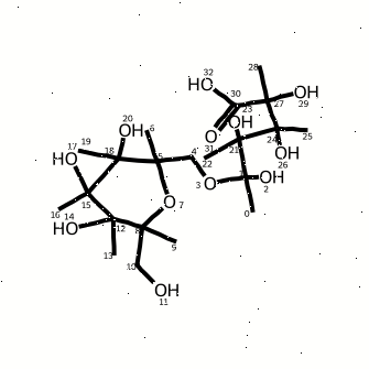 CC(O)(OCC1(C)OC(C)(CO)C(C)(O)C(C)(O)C1(C)O)C(C)(O)C(C)(O)C(C)(O)C(=O)O